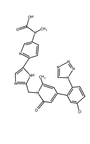 Cc1cc(-c2cc(Cl)ccc2-n2cnnn2)cc(=O)n1Cc1ncc(-c2ccc(N(C)C(=O)O)cn2)[nH]1